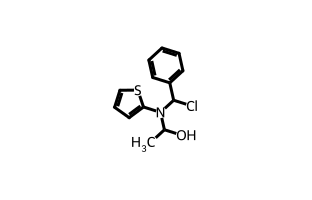 CC(O)N(c1cccs1)C(Cl)c1ccccc1